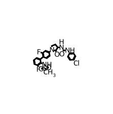 CS(=O)(=O)Nc1c(F)cccc1-c1ccc(N2CCC(NC(=O)Nc3ccc(Cl)cc3)C2=O)cc1F